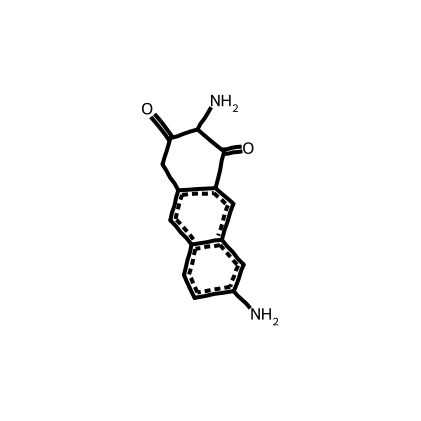 Nc1ccc2cc3c(cc2c1)C(=O)C(N)C(=O)C3